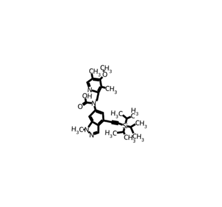 COc1c(C)cnc(CN(C(=O)O)c2cc(C#C[Si](C(C)C)(C(C)C)C(C)C)c3cnn(C)c3c2)c1C